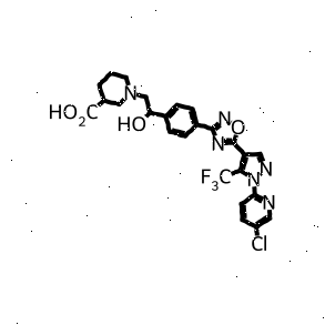 O=C(O)C1CCCN(CC(O)c2ccc(-c3noc(-c4cnn(-c5ccc(Cl)cn5)c4C(F)(F)F)n3)cc2)C1